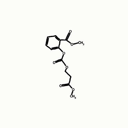 COC(=O)CCOC(=O)Oc1ccccc1C(=O)OC